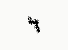 CN1CCN(c2ccnc3[nH]c(-c4n[nH]c5ccc(-c6cncc(CN7CCC(F)(F)C7)c6)nc45)nc23)CC1